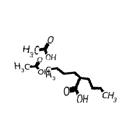 CC(=O)O.CC(=O)O.CCCCC(CCCC)C(=O)O